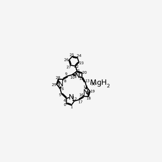 C1=CC2=NC1=CC1=NC(=CC3=NC(=CC4=NC(=C2)C=C4)C=C3c2ccccc2)C=C1.[MgH2]